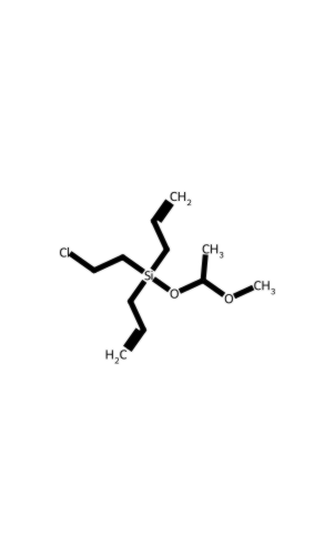 C=CC[Si](CC=C)(CCCl)OC(C)OC